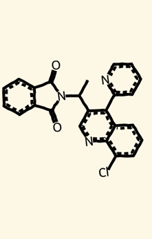 CC(c1cnc2c(Cl)cccc2c1-c1ccccn1)N1C(=O)c2ccccc2C1=O